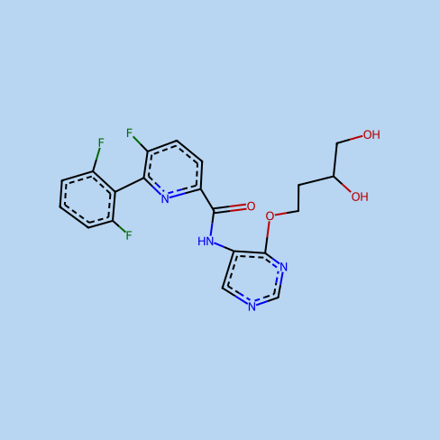 O=C(Nc1cncnc1OCCC(O)CO)c1ccc(F)c(-c2c(F)cccc2F)n1